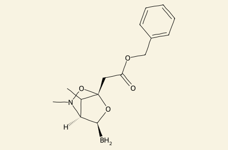 B[C@@H]1O[C@@]2(CC(=O)OCc3ccccc3)ON(C)[C@H]1C2C